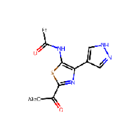 CCC(=O)Nc1sc(C(=O)OC)nc1-c1cn[nH]c1